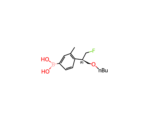 CCCCOC[C@H](CF)c1ccc(B(O)O)cc1C